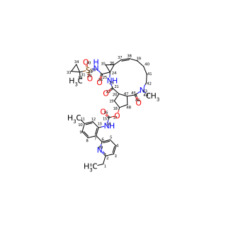 CCc1cccc(-c2ccc(C)cc2NC(=O)OC2CC3C(=O)NC4(C(=O)NS(=O)(=O)C5(C)CC5)CC4C=CCCCCN(C)C(=O)C3C2)n1